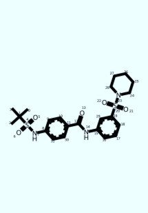 CC(C)(C)S(=O)(=O)Nc1ccc(C(=O)Nc2cccc(S(=O)(=O)N3CCCCC3)c2)cc1